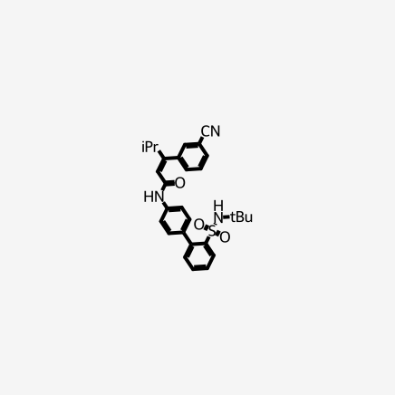 CC(C)C(=CC(=O)Nc1ccc(-c2ccccc2S(=O)(=O)NC(C)(C)C)cc1)c1cccc(C#N)c1